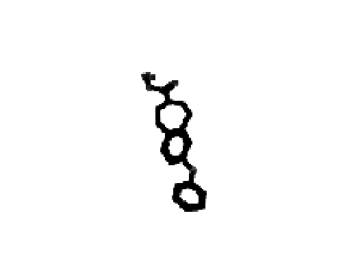 CC(C)(C)OC(=O)N1CCc2ccc(Oc3ccccc3)cc2CC1